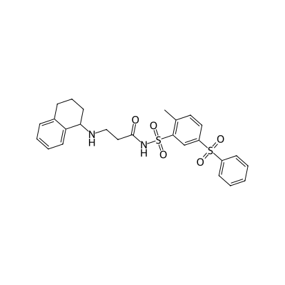 Cc1ccc(S(=O)(=O)c2ccccc2)cc1S(=O)(=O)NC(=O)CCNC1CCCc2ccccc21